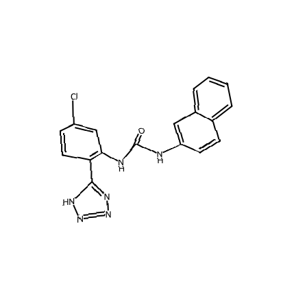 O=C(Nc1ccc2ccccc2c1)Nc1cc(Cl)ccc1-c1nnn[nH]1